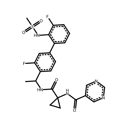 CC(NC(=O)C1(NC(=O)c2cncnc2)CC1)c1ccc(-c2cccc(F)c2NS(C)(=O)=O)cc1F